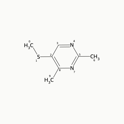 CSc1cnc(C)nc1C